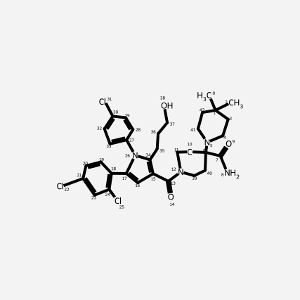 CC1(C)CCN(C2(C(N)=O)CCN(C(=O)c3cc(-c4ccc(Cl)cc4Cl)n(-c4ccc(Cl)cc4)c3CCCO)CC2)CC1